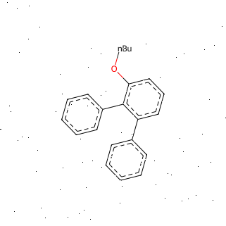 CCCCOc1cccc(-c2ccccc2)c1-c1ccccc1